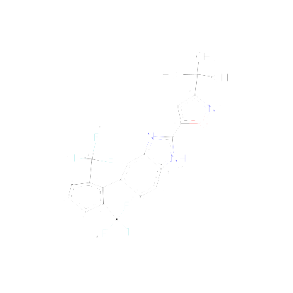 CC(C)(C)c1cc(-c2nc3cc(-c4c(C(F)(F)F)cccc4C(F)(F)F)ccc3[nH]2)on1